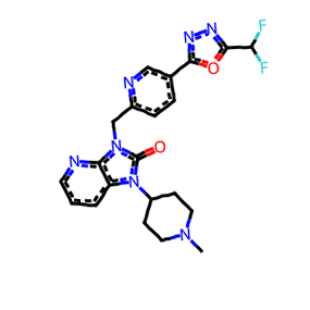 CN1CCC(n2c(=O)n(Cc3ccc(-c4nnc(C(F)F)o4)cn3)c3ncccc32)CC1